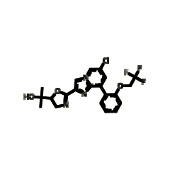 CC(C)(O)C1CN=C(c2cn3cc(Cl)cc(-c4ccccc4OCC(F)(F)F)c3n2)O1